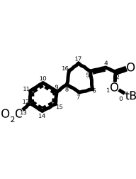 CC(C)(C)OC(=O)C=C1CCC(c2ccc(C(=O)O)cc2)CC1